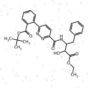 CCOC(=O)C(O)C(Cc1ccccc1)NC(=O)c1ccc(-c2ccccc2C(=O)OC(C)(C)C)nn1